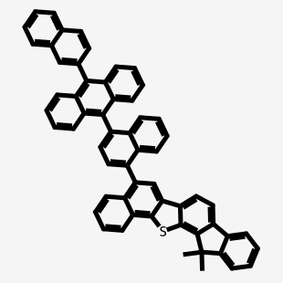 CC1(C)c2ccccc2-c2ccc3c(sc4c5ccccc5c(-c5ccc(-c6c7ccccc7c(-c7ccc8ccccc8c7)c7ccccc67)c6ccccc56)cc34)c21